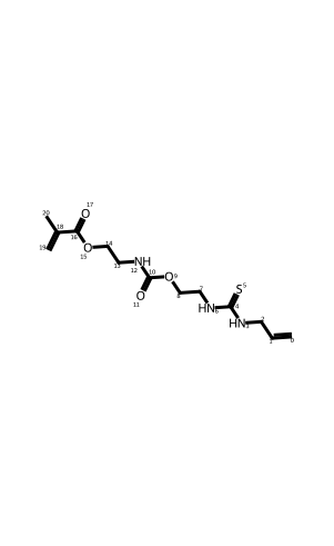 C=CCNC(=S)NCCOC(=O)NCCOC(=O)C(=C)C